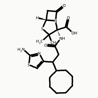 CC1(C)S[C@@H]2CC(=O)N2[C@@]1(NC(=O)CC(c1csc(N)n1)C1CCCCCCC1)C(=O)O